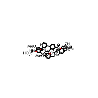 COc1ccc(CN(Cc2ccc(OC)cc2)S(=O)(=O)c2c(S(=O)(=O)CC[Si](C)(C)C)ccc(-c3ccnc(NCCNC(=O)O)c3)c2-c2nnn(Cc3ccc(OC)cc3)n2)cc1